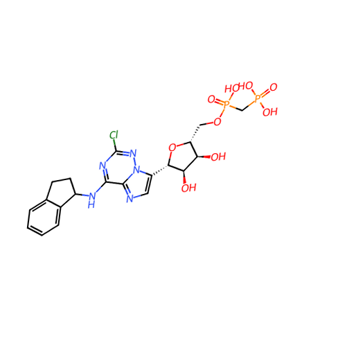 O=P(O)(O)CP(=O)(O)OC[C@H]1O[C@@H](c2cnc3c(NC4CCc5ccccc54)nc(Cl)nn23)[C@H](O)[C@@H]1O